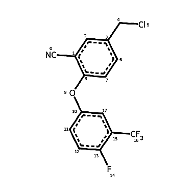 N#Cc1cc(CCl)ccc1Oc1ccc(F)c(C(F)(F)F)c1